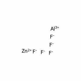 [Al+3].[F-].[F-].[F-].[F-].[F-].[Zn+2]